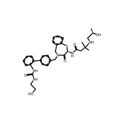 C[C@@H](O)CNC(C)(C)CC(=O)N[C@@H]1Sc2ccccc2CN(Cc2ccc(-c3ccccc3NC(=O)NCCO)cc2)C1=O